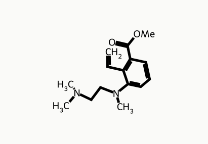 C=Cc1c(C(=O)OC)cccc1N(C)CCN(C)C